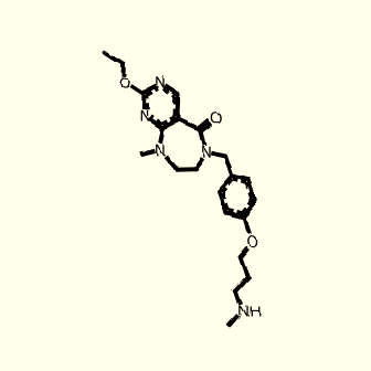 CCOc1ncc2c(n1)N(C)CCN(Cc1ccc(OCCCNC)cc1)C2=O